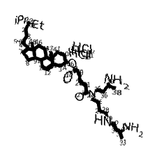 CC[C@H](CC[C@@H](C)C1CCC2C3CC=C4CC(OC(=O)CCCC(=O)N(CCCCNCCC(C)N)CCC(C)N)CCC4(C)C3CCC21C)C(C)C.Cl.Cl.Cl